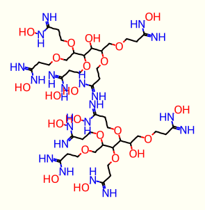 N=C(CCOCC(O)C(OCCC(=N)NO)C(OCCC(=N)NO)C(COCCC(=N)NO)OCCC(=N)NO)NO.N=C(CCOCC(OCCC(=N)NO)C(O)C(OCCC(=N)NO)C(COCCC(=N)NO)OCCC(=N)NO)NO